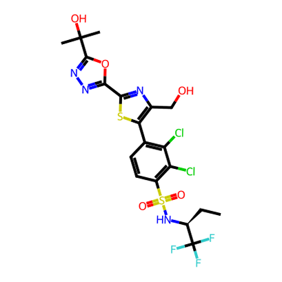 CC[C@H](NS(=O)(=O)c1ccc(-c2sc(-c3nnc(C(C)(C)O)o3)nc2CO)c(Cl)c1Cl)C(F)(F)F